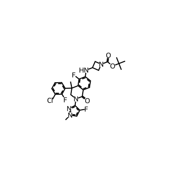 Cn1cc(F)c(N2CC(C)(c3cccc(Cl)c3F)c3c(ccc(NC4CN(C(=O)OC(C)(C)C)C4)c3F)C2=O)n1